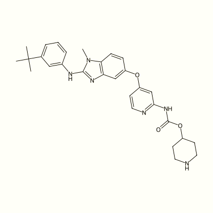 Cn1c(Nc2cccc(C(C)(C)C)c2)nc2cc(Oc3ccnc(NC(=O)OC4CCNCC4)c3)ccc21